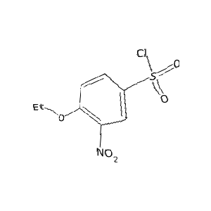 CCOc1ccc(S(=O)(=O)Cl)cc1[N+](=O)[O-]